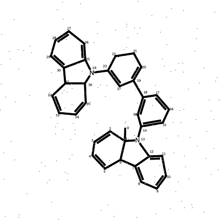 CC12C=CC=CC1c1ccccc1N2c1cccc(C2=CCCC(N3c4ccccc4C4C=CC=CC43)=C2)c1